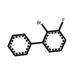 Fc1cccc(-c2ccccc2)c1Br